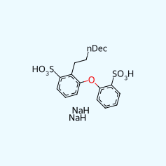 CCCCCCCCCCCCc1c(Oc2ccccc2S(=O)(=O)O)cccc1S(=O)(=O)O.[NaH].[NaH]